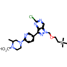 CC1CN(c2ccc(-c3nn(COCC[Si](C)(C)C)c4cnc(Cl)nc34)cn2)CCN1C(=O)O